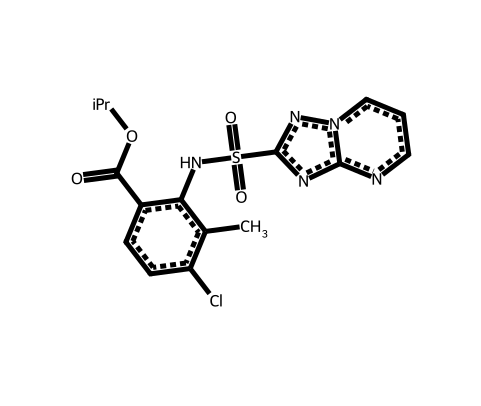 Cc1c(Cl)ccc(C(=O)OC(C)C)c1NS(=O)(=O)c1nc2ncccn2n1